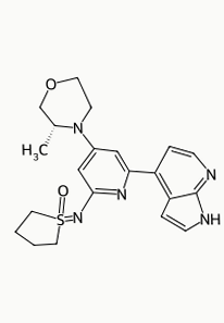 C[C@@H]1COCCN1c1cc(N=S2(=O)CCCC2)nc(-c2ccnc3[nH]ccc23)c1